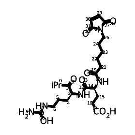 CC(C)C(=O)[C@H](CCCNC(N)O)NC(=O)[C@H](CCC(=O)O)NC(=O)CCCCCN1C(=O)C=CC1=O